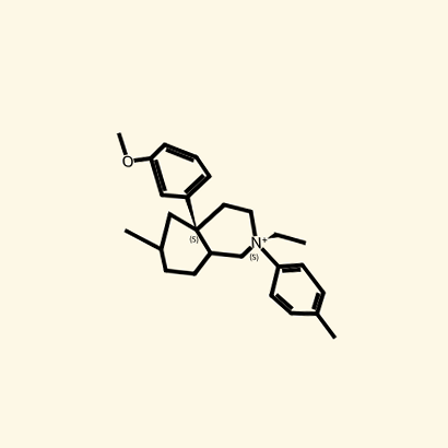 CC[N@+]1(c2ccc(C)cc2)CC[C@@]2(c3cccc(OC)c3)CC(C)CCC2C1